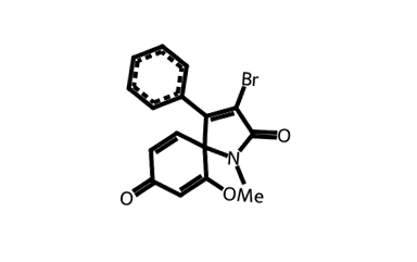 COC1=CC(=O)C=CC12C(c1ccccc1)=C(Br)C(=O)N2C